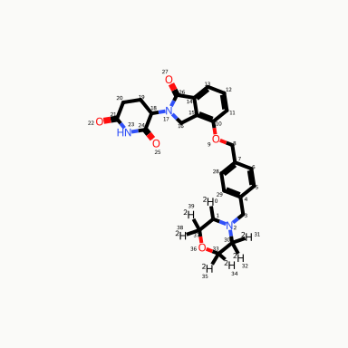 [2H]C1N(Cc2ccc(COc3cccc4c3CN(C3CCC(=O)NC3=O)C4=O)cc2)C([2H])([2H])C([2H])([2H])OC1([2H])[2H]